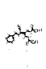 N#CC(C=Cc1ccccc1)=C(C=CC(=O)O)C=CC(=O)O